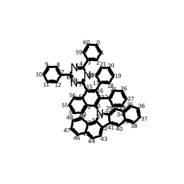 c1ccc(-c2nc(-c3ccccc3)nc(-c3c(-c4ccccc4)c(-c4ccccc4)c(-n4c5cc6ccccc6cc5c5ccc6ccccc6c54)c4ccccc34)n2)cc1